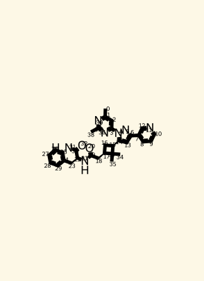 Cc1cc(-n2nc(-c3cccnc3)cc2[C@@H]2C[C@H](CC(=O)N[C@@H](Cc3ccccc3)C(N)=O)C2(C)C)nc(C)n1